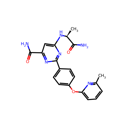 Cc1cccc(Oc2ccc(-c3nc(N[C@@H](C)C(N)=O)cc(C(N)=O)n3)cc2)n1